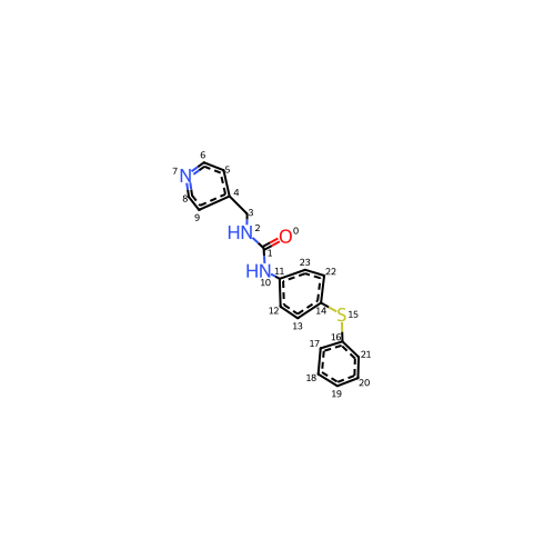 O=C(NCc1ccncc1)Nc1ccc(Sc2ccccc2)cc1